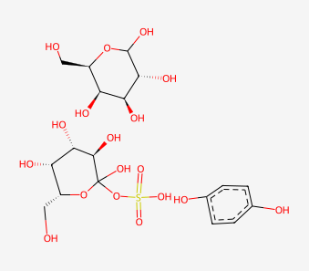 O=S(=O)(O)OC1(O)O[C@H](CO)[C@H](O)[C@H](O)[C@H]1O.OC[C@H]1OC(O)[C@H](O)[C@@H](O)[C@H]1O.Oc1ccc(O)cc1